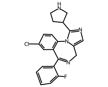 Fc1ccccc1C1=NCc2cnc(C3CCNC3)n2-c2ccc(Cl)cc21